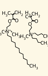 C=C(C)C(=O)OCC[N+](C)(CC)CCCCCCCCCCCC.C=C(C)C(=O)OCC[N+](C)(CCCC)CCCC